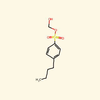 CCCCc1ccc(S(=O)(=O)OCO)cc1